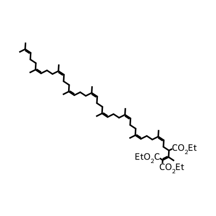 CCOC(=O)C(C(=O)OCC)=C(C)C(CC=C(C)CCC=C(C)CCC=C(C)CCC=C(C)CCC=C(C)CCC=C(C)CCC=C(C)CCC=C(C)CCC=C(C)C)C(=O)OCC